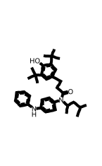 CC(C)CC(C)N(C(=O)CCc1cc(C(C)(C)C)c(O)c(C(C)(C)C)c1)c1ccc(Nc2ccccc2)cc1